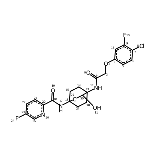 O=C(COc1ccc(Cl)c(F)c1)NC12CCC(NC(=O)c3ccc(F)cn3)(CC1)CC2O